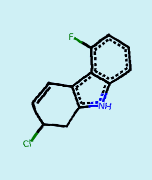 Fc1cccc2[nH]c3c(c12)C=CC(Cl)C3